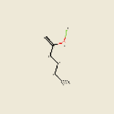 C=C(CCCOC)OF